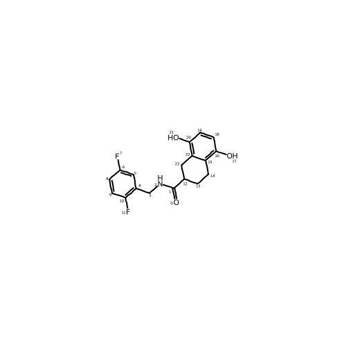 O=C(NCc1cc(F)ccc1F)C1CCc2c(O)ccc(O)c2C1